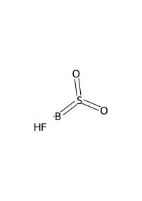 F.[B]=S(=O)=O